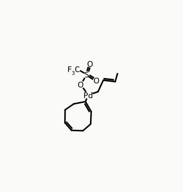 C/C=C/[CH2][Pd]([O]S(=O)(=O)C(F)(F)F)[C]1=CCCC=CCC1